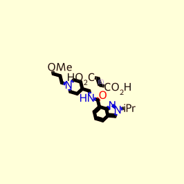 COCCCN1CCC(CNC(=O)c2cccc3cn(C(C)C)nc23)CC1.O=C(O)/C=C/C(=O)O